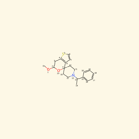 COC1Cc2sccc2C2(CCN(C(C)c3ccccc3)CC2)O1